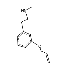 C=CCOc1cccc(CCNC)c1